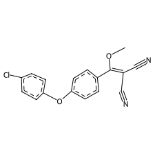 COC(=C(C#N)C#N)c1ccc(Oc2ccc(Cl)cc2)cc1